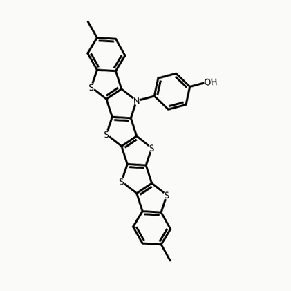 Cc1ccc2c(c1)sc1c2sc2c1sc1c2sc2c3sc4cc(C)ccc4c3n(-c3ccc(O)cc3)c12